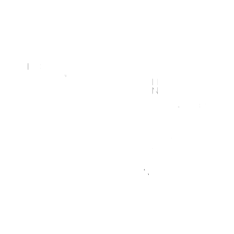 C[C@H]1C=C(c2cc3ncccc3c(=O)[nH]2)CC1